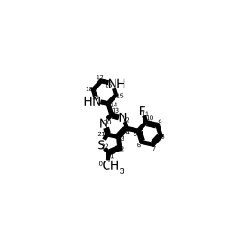 Cc1cc2c(-c3ccccc3F)nc(C3CNCCN3)nc2s1